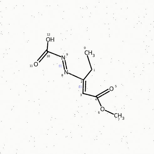 CCC(=C\C(=O)OC)/N=N/C(=O)O